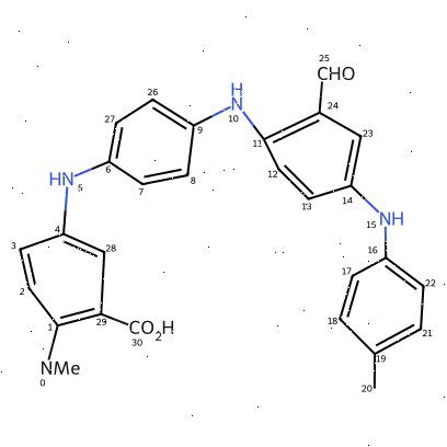 CNc1ccc(Nc2ccc(Nc3ccc(Nc4ccc(C)cc4)cc3C=O)cc2)cc1C(=O)O